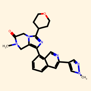 CN1Cc2c(-c3cccc4cc(-c5cnn(C)c5)ncc34)nc(C3CCOCC3)n2CC1=O